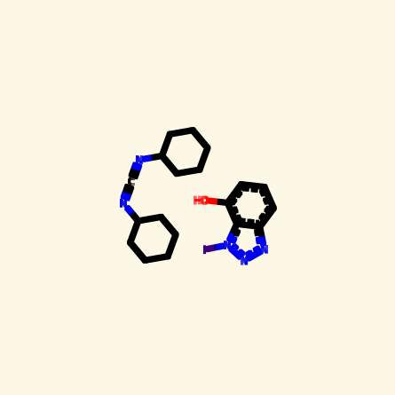 C(=NC1CCCCC1)=NC1CCCCC1.Oc1cccc2nnn(I)c12